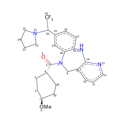 CO[C@H]1CC[C@H](C(=O)N2Cc3cccnc3Nc3ccc(C(N4CCCC4)C(F)(F)F)cc32)CC1